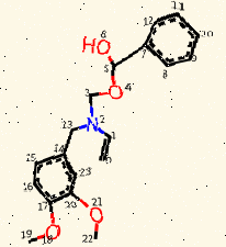 C=CN(COC(O)c1ccccc1)Cc1ccc(OC)c(OC)c1